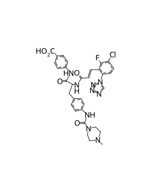 CN1CCN(C(=O)Nc2ccc(CC(NC(=O)C=Cc3c(-n4cnnn4)ccc(Cl)c3F)C(=O)Nc3ccc(C(=O)O)cc3)cc2)CC1